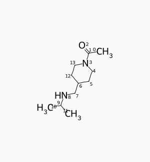 CC(=O)N1CCC(CNC(C)C)CC1